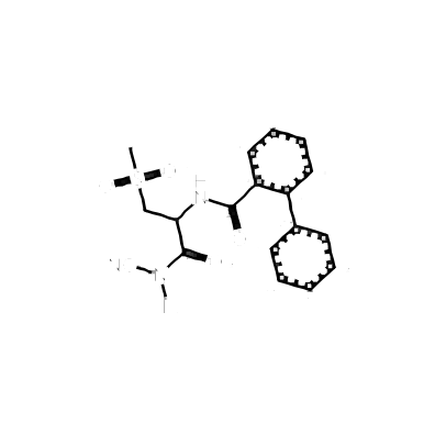 CCN(C#N)C(=O)C(CS(C)(=O)=O)NC(=O)c1ccccc1-c1ccccc1